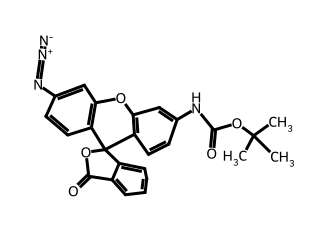 CC(C)(C)OC(=O)Nc1ccc2c(c1)Oc1cc(N=[N+]=[N-])ccc1C21OC(=O)c2ccccc21